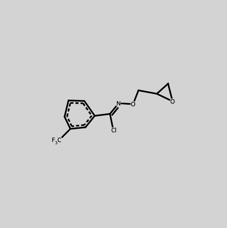 FC(F)(F)c1cccc(/C(Cl)=N/OCC2CO2)c1